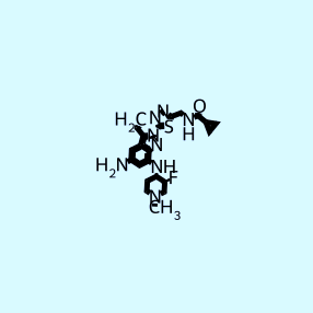 C=Cc1c2cc(N)cc(N[C@@H]3CCN(C)C[C@@H]3F)c2nn1-c1nnc(CNC(=O)C2CC2)s1